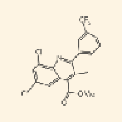 COC(=O)c1c(C)c(-c2cccc(C(F)(F)F)c2)nc2c(Cl)cc(Cl)cc12